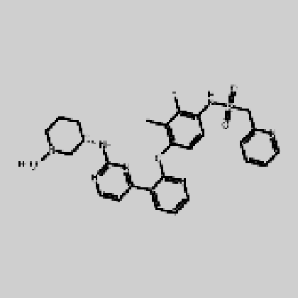 O=C(O)N1CCC[C@H](Nc2nccc(-c3cccnc3Oc3ccc(NS(=O)(=O)Cc4ccccn4)c(F)c3F)n2)C1